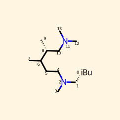 CC[C@@H](C)CN(C)CCC(C)[C@H](C)CN(C)C